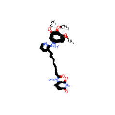 COc1cc(Nc2ncccc2CCCCCCC(=O)NC2CCC(=O)NC2=O)cc(OC)c1OC